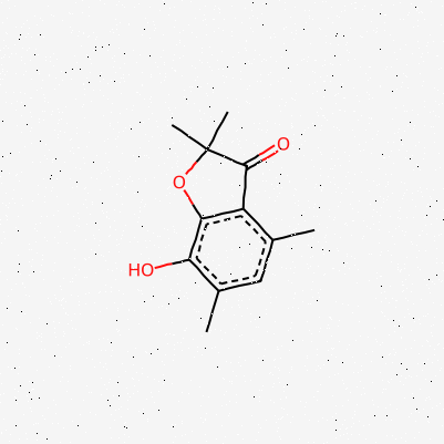 Cc1cc(C)c2c(c1O)OC(C)(C)C2=O